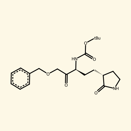 CC(C)(C)OC(=O)N[C@@H](CC[C@@H]1CCNC1=O)C(=O)COCc1ccccc1